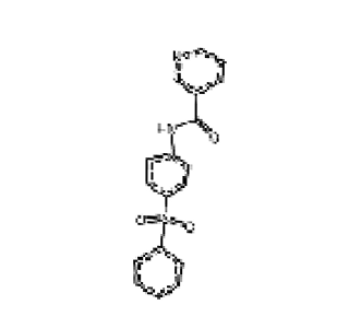 O=C(Nc1ccc(S(=O)(=O)c2ccccc2)cc1)c1cccnc1